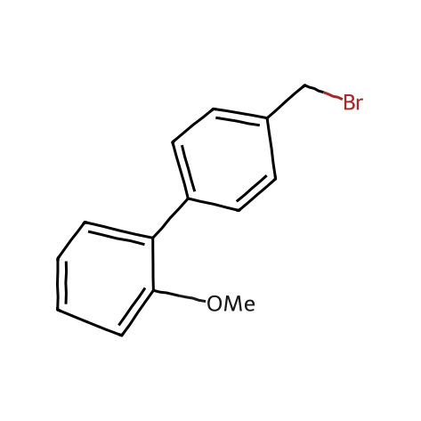 COc1ccccc1-c1ccc(CBr)cc1